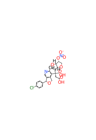 Cc1ncc2c(c1[C@@](CC(=O)O)(C(=O)O)[C@H]1CO[C@H]3[C@@H]1OC[C@H]3O[N+](=O)[O-])COC2c1ccc(Cl)cc1